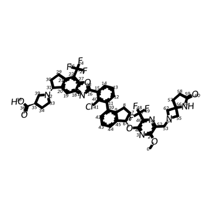 COc1nc(O[C@H]2CCc3c(-c4cccc(-c5nc6cc7c(c(C(F)(F)F)c6o5)CC[C@H]7N5CC[C@@H](C(=O)O)C5)c4Cl)cccc32)c(C(F)(F)F)nc1CN1CC2(CCC(=O)N2)C1